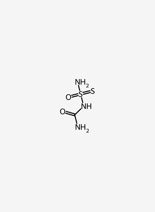 NC(=O)NS(N)(=O)=S